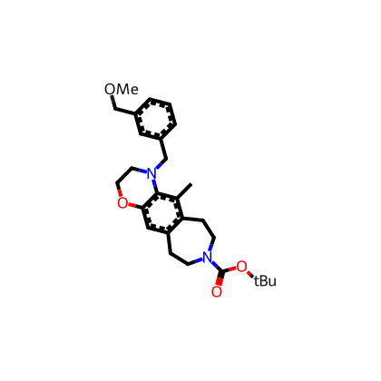 COCc1cccc(CN2CCOc3cc4c(c(C)c32)CCN(C(=O)OC(C)(C)C)CC4)c1